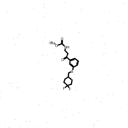 CC(C)(C)OC(=O)NCCC(=O)c1cccc(SCC2CCC(F)(F)CC2)c1